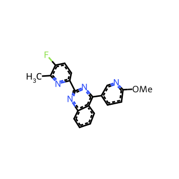 COc1ccc(-c2nc(-c3ccc(F)c(C)n3)nc3ccccc23)cn1